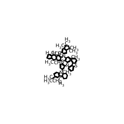 Cc1cc2c3c(c1)N(c1cccc4sc5ccccc5c14)c1cc(N4c5ccc(C(C)(C)C)cc5C5(C)CCCCC45C)ccc1B3c1cc3c(cc1N2c1cc2c(cc1C)C(C)(C)CC2(C)C)C(C)(C)c1ccccc1C3(C)C